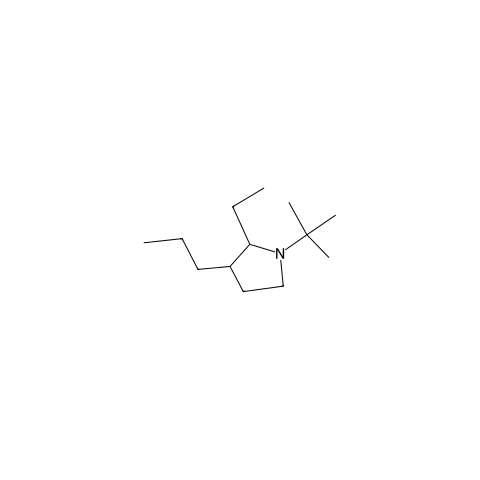 CCCC1CCN(C(C)(C)C)C1CC